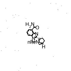 CCCN1C[C@H]2CC[C@@]1(c1nc3c(C(N)=O)cccc3[nH]1)C2